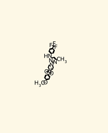 COc1ccc(S(=O)(=O)N2CCN(c3nc(C)cc(Nc4ccc(C(F)(F)F)cc4)n3)CC2)cc1